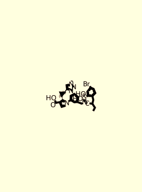 CCC1Cc2ccc(Br)cc2S(O)(O)N(Cc2cccc(-n3ccc(C(=O)O)c3[C@@H]3C[C@H]3c3cn(C)nn3)c2)C1